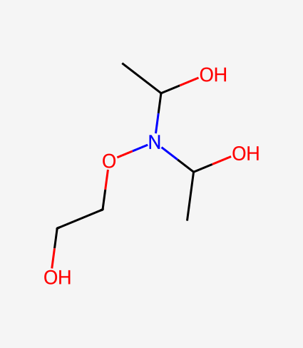 CC(O)N(OCCO)C(C)O